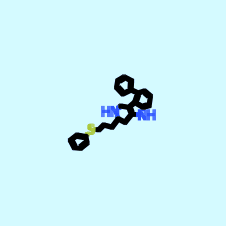 c1ccc(SCCCC2Cc3[nH]c4cccc(-c5ccccc5)c4c3CN2)cc1